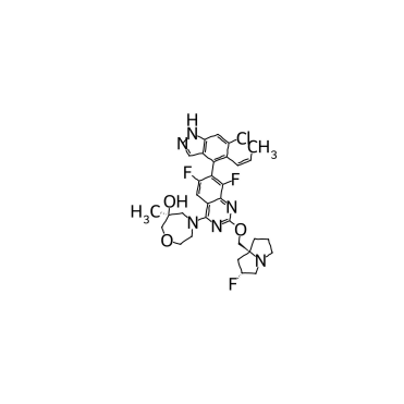 C/C=C\c1c(Cl)cc2[nH]ncc2c1-c1c(F)cc2c(N3CCOC[C@@](C)(O)C3)nc(OC[C@@]34CCCN3C[C@H](F)C4)nc2c1F